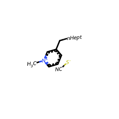 CCCCCCCCc1ccc[n+](C)c1.N#C[S-]